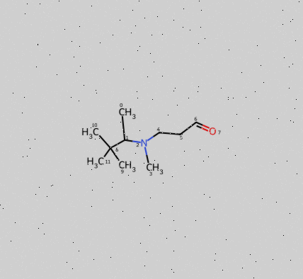 CC(N(C)CCC=O)C(C)(C)C